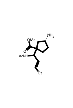 CCC=CC(NC(C)=O)C1(C(=O)OC)CC[C@@H](N)C1